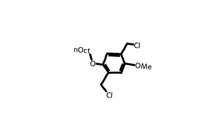 CCCCCCCCOc1cc(CCl)c(OC)cc1CCl